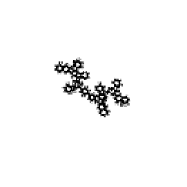 c1ccc2cc(-c3nc(-n4c5ccccc5c5c6c7cc(-c8ccc(-c9nc(-n%10c%11ccccc%11c%11c%12c%13ccccc%13n%13c%14cc%15ccccc%15cc%14c(cc%11%10)c%12%13)nc%10c9sc9ccccc9%10)cc8)ccc7n7c8cc9ccccc9cc8c(cc54)c67)nc4c3sc3ccccc34)ccc2c1